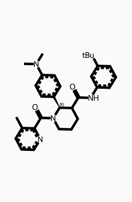 Cc1cccnc1C(=O)N1CCCC(C(=O)Nc2cccc(C(C)(C)C)c2)[C@@H]1c1ccc(N(C)C)cc1